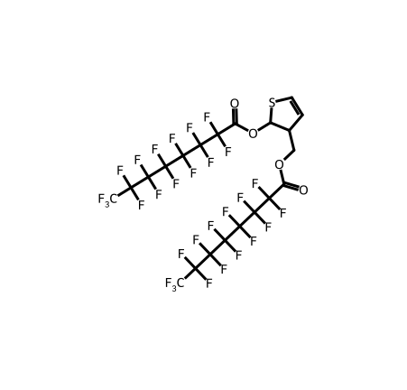 O=C(OCC1C=CSC1OC(=O)C(F)(F)C(F)(F)C(F)(F)C(F)(F)C(F)(F)C(F)(F)C(F)(F)F)C(F)(F)C(F)(F)C(F)(F)C(F)(F)C(F)(F)C(F)(F)C(F)(F)F